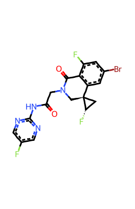 O=C(CN1C[C@]2(C[C@@H]2F)c2cc(Br)cc(F)c2C1=O)Nc1ncc(F)cn1